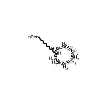 CCCCCCCCCCCCCCCCCCCC[SiH]1O[SiH2]O[SiH2]O[SiH2]O[SiH2]O[SiH2]O[SiH2]O[SiH2]O[SiH2]O[SiH2]O1